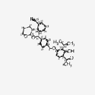 CC(=O)c1ccc(OCc2ccc(C(OC3CCCCO3)c3cccc(C#N)c3)cc2)c(C(C)C)c1O